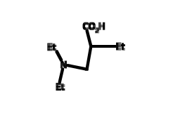 CCC(CN(CC)CC)C(=O)O